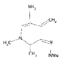 C=C/C(N)=C\N(C)C(C)/C=N\NC